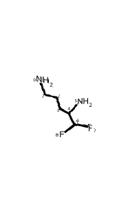 NCCCC(N)C(F)F